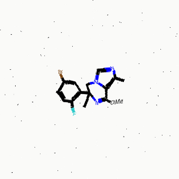 COC1=NC(C)(c2cc(Br)ccc2F)Cn2cnc(C)c21